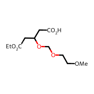 CCOC(=O)CC(CC(=O)O)OCOCCOC